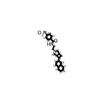 O=C(NCCN1CC2CC(c3ccc4ccccc4c3)C2C1)c1ccc([N+](=O)[O-])cc1